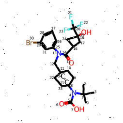 CC(C)(C)N(C(=O)O)C12CCC(CN(C(=O)C3CC(O)(C(F)(F)F)C3)c3cccc(Br)c3)(CC1)CC2